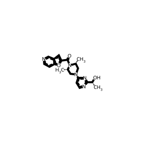 C[C@@H]1CN(c2ccnc([C@@H](C)O)n2)C[C@H](C)N1C(=O)c1cc2cnccc2o1